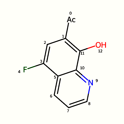 CC(=O)c1cc(F)c2cccnc2c1O